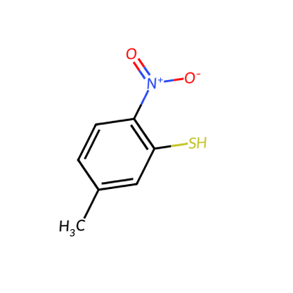 Cc1ccc([N+](=O)[O-])c(S)c1